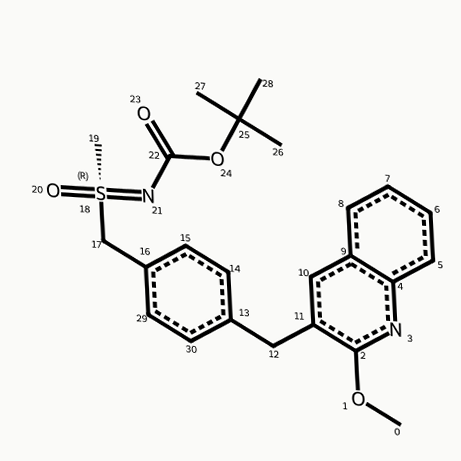 COc1nc2ccccc2cc1Cc1ccc(C[S@@](C)(=O)=NC(=O)OC(C)(C)C)cc1